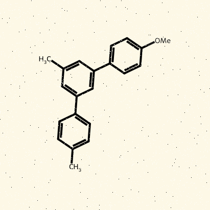 COc1ccc(-c2cc(C)cc(-c3ccc(C)cc3)c2)cc1